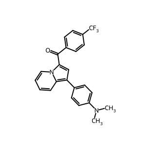 CN(C)c1ccc(-c2cc(C(=O)c3ccc(C(F)(F)F)cc3)n3ccccc23)cc1